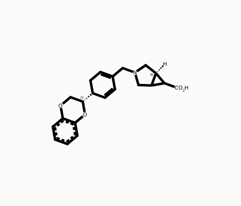 O=C(O)C1C2CN(CC3=CCC([C@H]4COc5ccccc5O4)C=C3)C[C@H]21